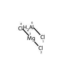 [AlH2][Cl].[Cl][Mg][Cl]